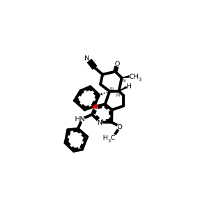 COc1nc(Nc2ccccc2)nc2c1CC[C@H]1[C@H](C)C(=O)C(C#N)C[C@]21c1ccccc1